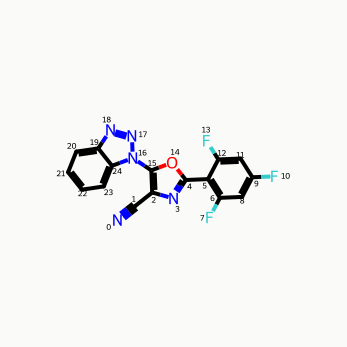 N#Cc1nc(-c2c(F)cc(F)cc2F)oc1-n1nnc2ccccc21